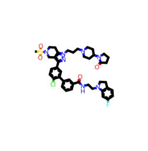 CS(=O)(=O)N1CCc2c(c(-c3ccc(Cl)c(-c4cccc(C(=O)NCCN5CCc6ccc(F)cc65)c4)c3)nn2CCCN2CCC(N3CCCC3=O)CC2)C1